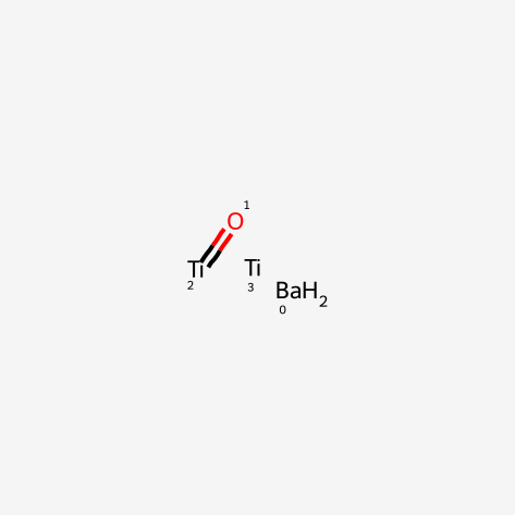 [BaH2].[O]=[Ti].[Ti]